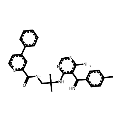 Cc1ccc(C(=N)c2c(N)ncnc2NC(C)(C)CNC(=O)c2cc(-c3ccccc3)ccn2)cc1